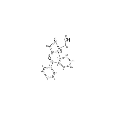 O=C(c1ccccc1)c1ccccc1-n1ccnc1CO